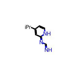 CC(C)c1cc[nH]/c(=N\C=N)c1